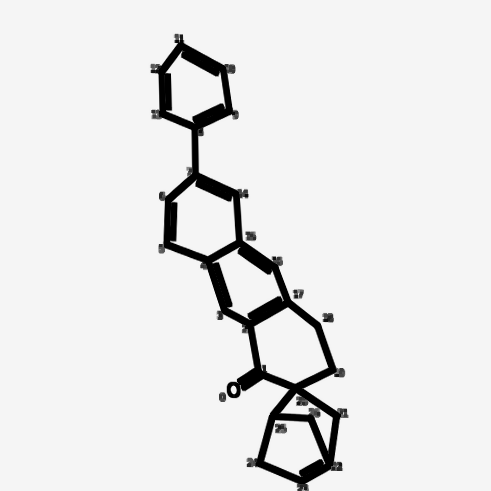 O=C1c2cc3ccc(-c4ccccc4)cc3cc2CCC12CC1=CCC2C1